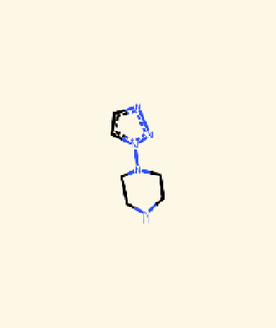 c1cn(N2CCNCC2)nn1